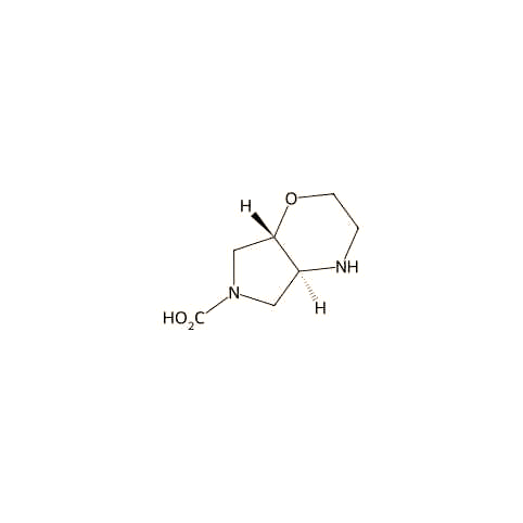 O=C(O)N1C[C@@H]2NCCO[C@H]2C1